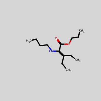 CCCCNC(C(=O)OCCC)=C(CC)CC